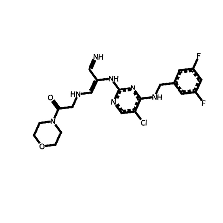 N=C/C(=C\NCC(=O)N1CCOCC1)Nc1ncc(Cl)c(NCc2cc(F)cc(F)c2)n1